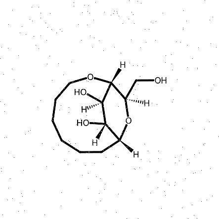 OC[C@H]1O[C@@H]2CCCCCCO[C@H]1[C@H](O)[C@H]2O